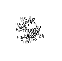 CNC(=O)CNC(=O)[C@H](C)NC(=O)[C@H](CSC)NC(=O)CNC(=O)[C@H](CC(C)C)NC(=O)[C@@H]1CCCN1C(=O)COCCNC(=O)[C@H](Cc1ccc(C(C)=O)cc1)NC(=O)[C@@H](CCC(=O)O)NC(=O)[C@@H](CCC(=O)O)NC(=O)[C@@H](CCC(=O)O)NC(=O)[C@@H](CCC(=O)O)NC(=O)[C@H](N)CCC(=O)O